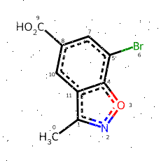 Cc1noc2c(Br)cc(C(=O)O)cc12